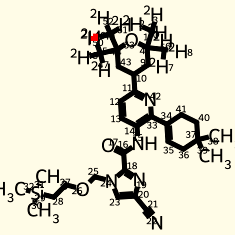 [2H]C([2H])([2H])C1(C([2H])([2H])[2H])CC(c2ccc(NC(=O)c3nc(C#N)cn3COCC[Si](C)(C)C)c(C3=CCC(C)(C)CC3)n2)CC(C([2H])([2H])[2H])(C([2H])([2H])[2H])O1